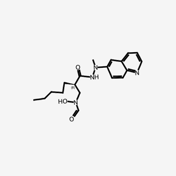 CCCCC[C@H](CN(O)C=O)C(=O)NN(C)c1ccc2ncccc2c1